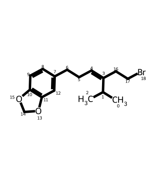 CC(C)/C(=C\CCc1ccc2c(c1)OCO2)CCBr